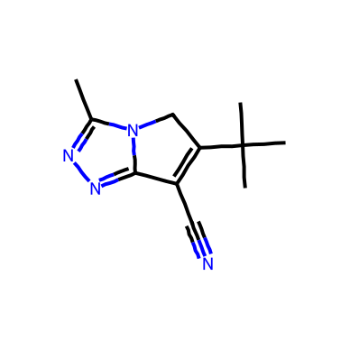 Cc1nnc2n1CC(C(C)(C)C)=C2C#N